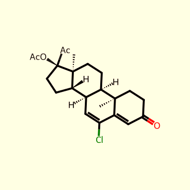 CC(=O)O[C@]1(C(C)=O)CC[C@H]2[C@@H]3C=C(Cl)C4=CC(=O)CC[C@]4(C)[C@@H]3CC[C@@]21C